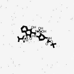 CON[C@]1(CCC(C)C)C(=O)C(C2=NS(O)(O)c3cc(NC(=O)OC(C)(C)C)ccc3N2)=C(O)c2ccccc21